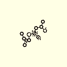 CC1C=CC=CC1c1cc(-c2ccccc2)cc(-c2cccc(-c3nc(C4=CC(c5cccc6c5c5cc(-c7ccccc7)ccc5n6-c5ccccc5)=CC=CC4)nc(-c4ccncc4)n3)c2)c1